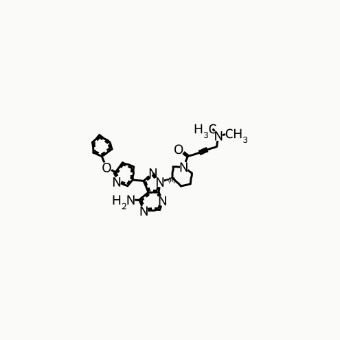 CN(C)CC#CC(=O)N1CCC[C@@H](n2nc(-c3ccc(Oc4ccccc4)nc3)c3c(N)ncnc32)C1